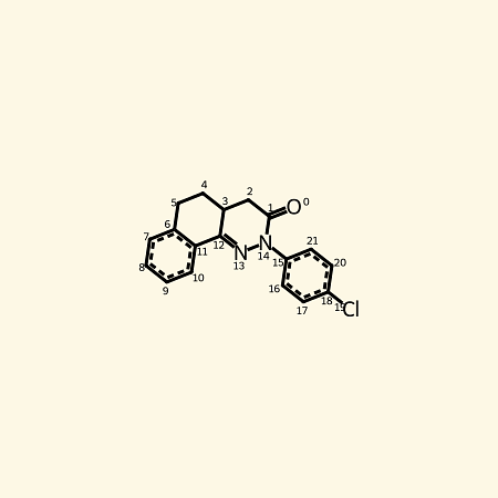 O=C1CC2CCc3ccccc3C2=NN1c1ccc(Cl)cc1